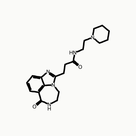 O=C(CCc1nc2cccc3c2n1CCNC3=O)NCCN1CCCCC1